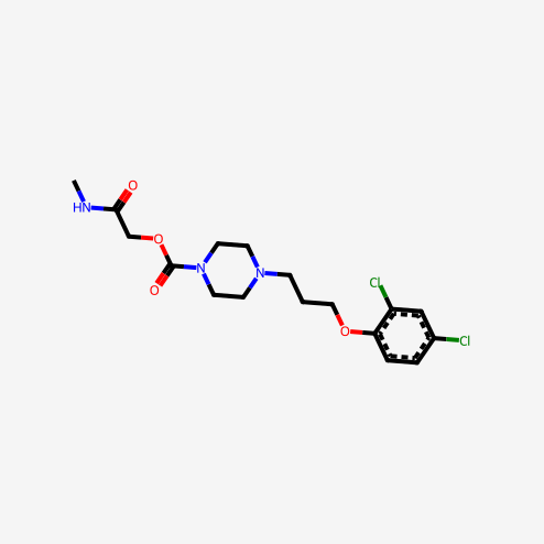 CNC(=O)COC(=O)N1CCN(CCCOc2ccc(Cl)cc2Cl)CC1